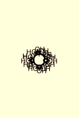 CCC1(C)c2cc(c(O)c(O)c2O)C(C(C)C)c2cc(c(O)c(O)c2O)C(C(C)C)c2cc(c(O)c(O)c2O)C(C)(C(C)C)c2cc(c(O)c(O)c2O)C1C(C)C